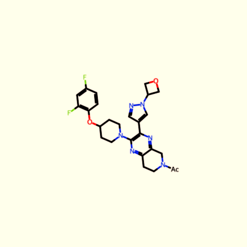 CC(=O)N1CCc2nc(N3CCC(Oc4ccc(F)cc4F)CC3)c(-c3cnn(C4COC4)c3)nc2C1